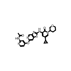 CC(=O)Nc1cc(Oc2cc3sc(Nc4cc(C5CC5)cn(C5CCCOC5)c4=O)nc3cn2)ccn1